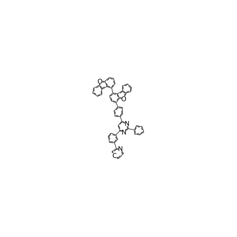 c1ccc(-c2nc(-c3ccc(-c4ccc(-c5cccc6oc7ccccc7c56)c5c4oc4ccccc45)cc3)cc(-c3cccc(-c4ccccn4)c3)n2)cc1